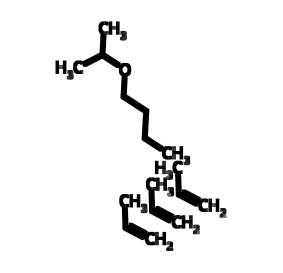 C=CC.C=CC.C=CC.CCCCOC(C)C